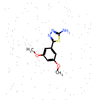 COc1cc(OC)cc(-c2nnc(N)s2)c1